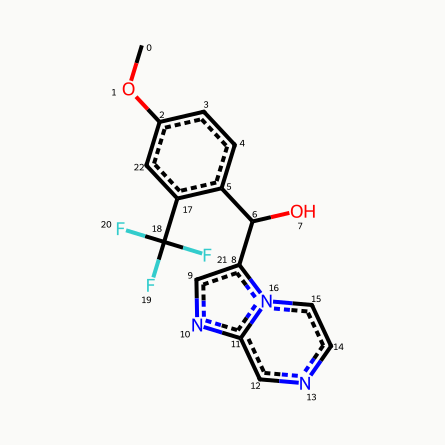 COc1ccc(C(O)c2cnc3cnccn23)c(C(F)(F)F)c1